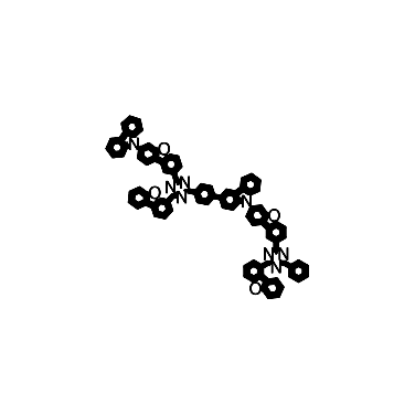 c1ccc(-c2nc(-c3ccc4oc5cc(-n6c7ccccc7c7cc(-c8ccc(-c9nc(-c%10ccc%11oc%12cc(-n%13c%14ccccc%14c%14ccccc%14%13)ccc%12c%11c%10)nc(-c%10cccc%11c%10oc%10ccccc%10%11)n9)cc8)ccc76)ccc5c4c3)nc(-c3cccc4oc5ccccc5c34)n2)cc1